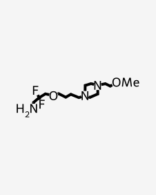 COCCN1CCN(CCCCOCC(F)(F)CN)CC1